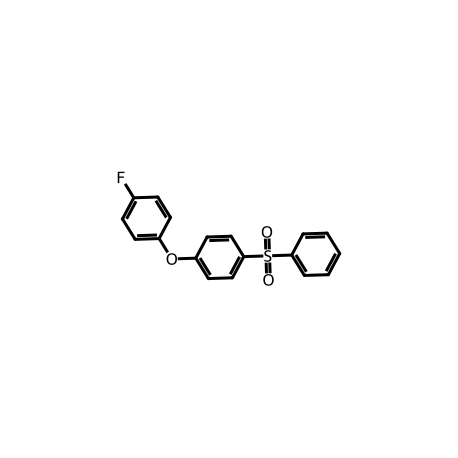 O=S(=O)(c1ccccc1)c1ccc(Oc2ccc(F)cc2)cc1